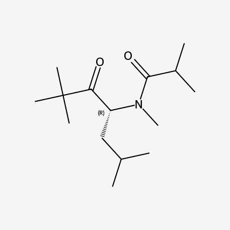 CC(C)C[C@H](C(=O)C(C)(C)C)N(C)C(=O)C(C)C